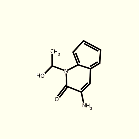 CC(O)n1c(=O)c(N)cc2ccccc21